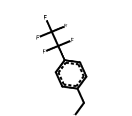 [CH2]Cc1ccc(C(F)(F)C(F)(F)F)cc1